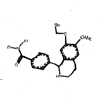 CCN(CC)C(=O)c1ccc(C2NCCc3cc(OC)c(OCC(C)(C)C)cc32)cc1